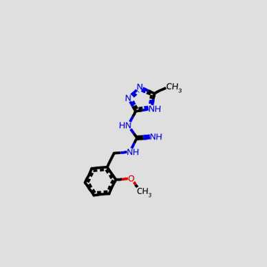 COc1ccccc1CNC(=N)Nc1nnc(C)[nH]1